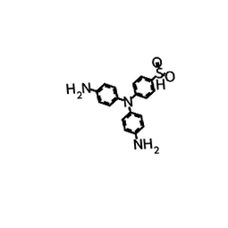 Nc1ccc(N(c2ccc(N)cc2)c2ccc([SH](=O)=O)cc2)cc1